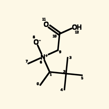 CC(C(C)(C)C)[N+](C)([O-])CC(=O)O